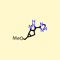 COCC1C2Cc3c(n[nH]c3C3=NCN=N3)C12